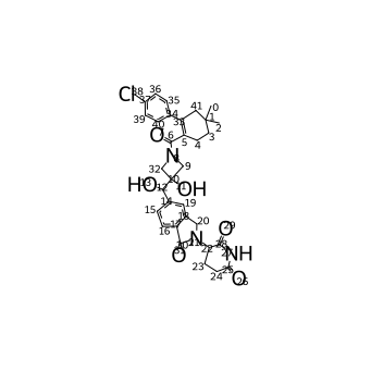 CC1(C)CCC(C(=O)N2CC(O)(C(O)c3ccc4c(c3)CN(C3CCC(=O)NC3=O)C4=O)C2)=C(c2ccc(Cl)cc2)C1